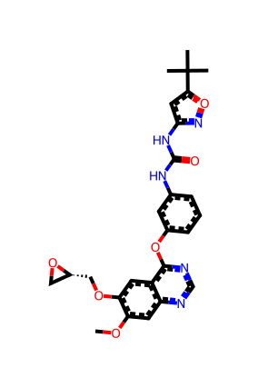 COc1cc2ncnc(Oc3cccc(NC(=O)Nc4cc(C(C)(C)C)on4)c3)c2cc1OC[C@@H]1CO1